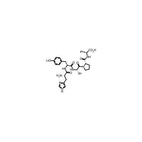 CC(C)[C@H](NC(=O)[C@@H]1CCCN1C(=O)[C@@H](NC(=O)[C@H](Cc1ccc(O)cc1)NC(=O)[C@@H](N)Cc1c[nH]cn1)C(C)C)C(=O)O